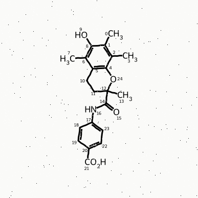 Cc1c(C)c2c(c(C)c1O)CCC(C)(C(=O)Nc1ccc(C(=O)O)cc1)O2